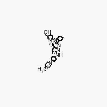 CN1CCN(c2ccc(Nc3ncc4c(=O)n5c(nc4n3)c3ccccc3n5-c3ccc(CO)cn3)cc2)CC1